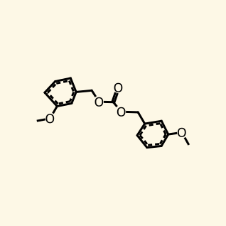 COc1cccc(COC(=O)OCc2cccc(OC)c2)c1